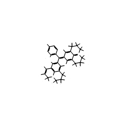 CC1=C(C)C(C)(C)N2c3c1c(C)c1c(c3C(C)(C)C(C)(C)C2(C)C)Oc2c3c4c(c(C)c2=C1c1ccc(C)cc1C(=O)O)C(C)(C)C(C)(C)C(C)(C)[N+]=4C(C)(C)C(C)(C)C3(C)C